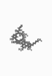 CCCCCCc1ccc(C(=O)NC(CCN)C(=O)N(CCN)C2C(=O)NC(C)C(=O)NC(C(=O)NCC#N)Cc3ccc(O)c(c3)-c3cc2ccc3O)c(C)c1